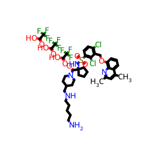 Cc1cc(C)c2cccc(OCc3c(Cl)ccc(S(=O)(=O)NC4(C(=O)N5CCC(CNCCCCCN)CC5)CCCC4)c3Cl)c2n1.O=C(O)C(F)(F)F.O=C(O)C(F)(F)F.O=C(O)C(F)(F)F